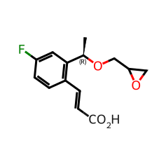 C[C@@H](OCC1CO1)c1cc(F)ccc1C=CC(=O)O